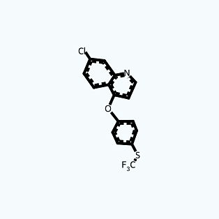 FC(F)(F)Sc1ccc(Oc2ccnc3cc(Cl)ccc23)cc1